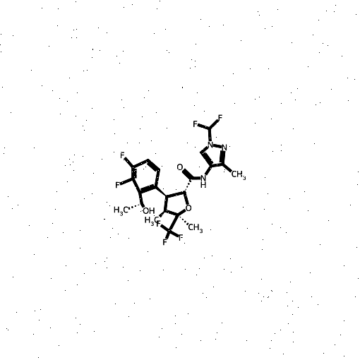 Cc1nn(C(F)F)cc1NC(=O)[C@@H]1O[C@@](C)(C(F)(F)F)[C@@H](C)[C@H]1c1ccc(F)c(F)c1[C@@H](C)O